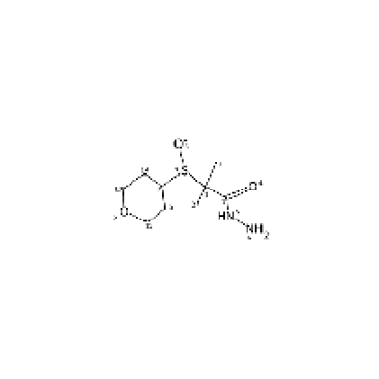 CC(C)(C(=O)NN)[S+]([O-])C1CCOCC1